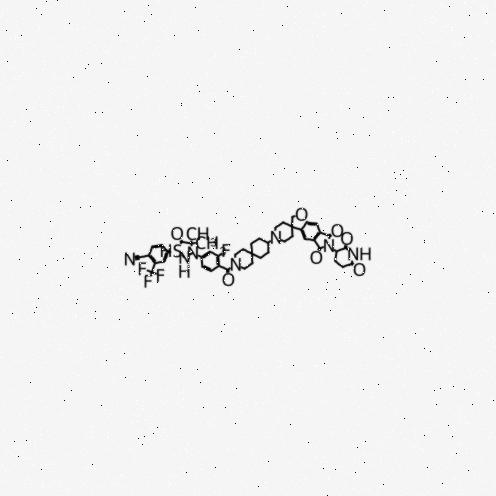 CC1(C)C(=O)[SH](c2ccc(C#N)c(C(F)(F)F)c2)NN1c1ccc(C(=O)N2CCC3(CCC(N4CCC5(CC4)COc4cc6c(cc45)C(=O)N(C4CCC(=O)NC4=O)C6=O)CC3)CC2)c(F)c1